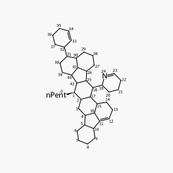 CCCCC[C@@H]1C2CC3C4CCCCC4C4=CCCC(C43)C2C(C2CCCC=N2)C2C3CCCC4C(C5C=CCCC5)CCC(C43)C21